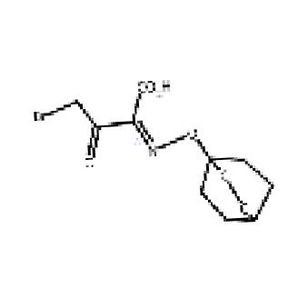 O=C(O)/C(=N\OC12CCC(CC1)CC2)C(=O)CBr